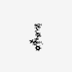 CC(C)(C)c1nn(-c2ccccc2)c(N)c1N=Nc1nc(SCCS(=O)(=O)O)ns1